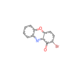 O=c1c(Br)ccc2oc3ccccc3nc1-2